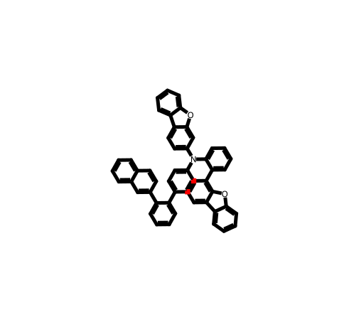 c1ccc(-c2ccc3ccccc3c2)c(-c2ccc(N(c3ccc4c(c3)oc3ccccc34)c3ccccc3-c3cccc4c3oc3ccccc34)cc2)c1